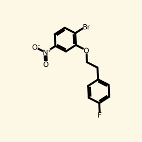 O=[N+]([O-])c1ccc(Br)c(OCCc2ccc(F)cc2)c1